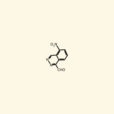 O=Cc1nncc2c([N+](=O)[O-])cccc12